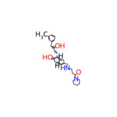 Cc1cccc(C[C@@H](O)/C=C/[C@@H]2[C@H]3CC(CNCCC(=O)N4CCCCC4)=C[C@H]3C[C@H]2O)c1